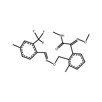 CNC(=O)/C(=N/OC)c1cccc(C)c1CO/N=C/c1ccc(C)cc1C(F)(F)F